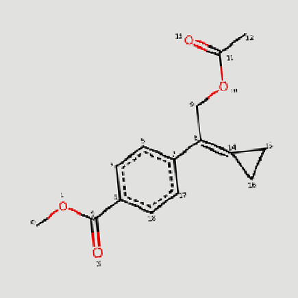 COC(=O)c1ccc(C(COC(C)=O)=C2CC2)cc1